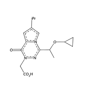 CC(C)c1cc2c(=O)n(CC(=O)O)nc(C(C)OC3CC3)n2c1